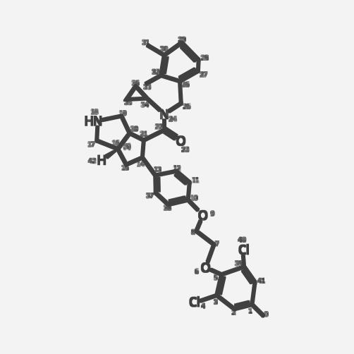 Cc1cc(Cl)c(OCCOc2ccc(C3C[C@@H]4CNCC4C3C(=O)N(Cc3cccc(C)c3C)C3CC3)cc2)c(Cl)c1